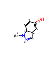 CC(=O)N1N=CC2C=C(O)C=CC21